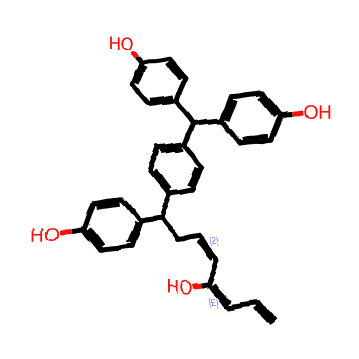 C=C/C=C(O)\C=C/CC(c1ccc(O)cc1)c1ccc(C(c2ccc(O)cc2)c2ccc(O)cc2)cc1